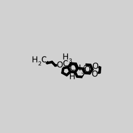 C=CCCOC1CC[C@@]2(C)[C@@H]3CC[C@@]45CC6(CC[C@@]4(O5)C3=CC[C@]12C)OCCO6